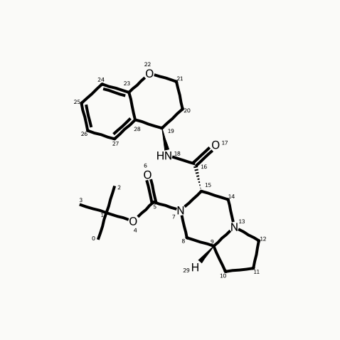 CC(C)(C)OC(=O)N1C[C@H]2CCCN2C[C@H]1C(=O)N[C@@H]1CCOc2ccccc21